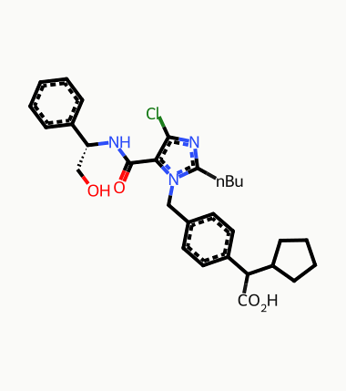 CCCCc1nc(Cl)c(C(=O)N[C@H](CO)c2ccccc2)n1Cc1ccc(C(C(=O)O)C2CCCC2)cc1